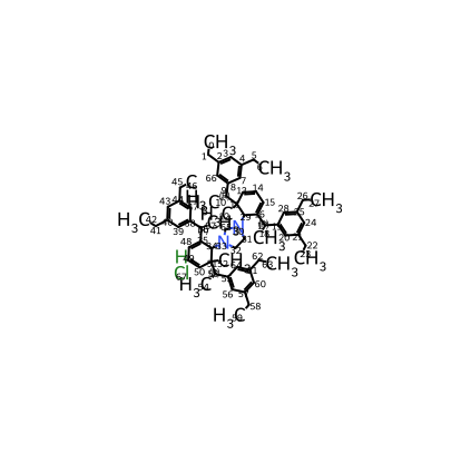 CCc1cc(CC)cc([C@@H](C)C2(C)C=CC=C([C@H](C)c3cc(CC)cc(CC)c3)C2N2CCN(C3C([C@H](C)c4cc(CC)cc(CC)c4)=CC=CC3(C)[C@H](C)c3cc(CC)cc(CC)c3)C2)c1.Cl